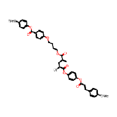 CCC(CC(C)C(=O)OCCCCOc1ccc(C(=O)Oc2ccc(OC)cc2)cc1)C(=O)Oc1ccc(OC(=O)/C=C/c2ccc(OC)cc2)cc1